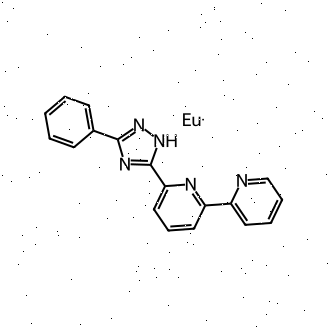 [Eu].c1ccc(-c2n[nH]c(-c3cccc(-c4ccccn4)n3)n2)cc1